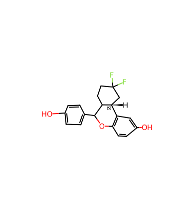 Oc1ccc(C2Oc3ccc(O)cc3[C@H]3CC(F)(F)CCC23)cc1